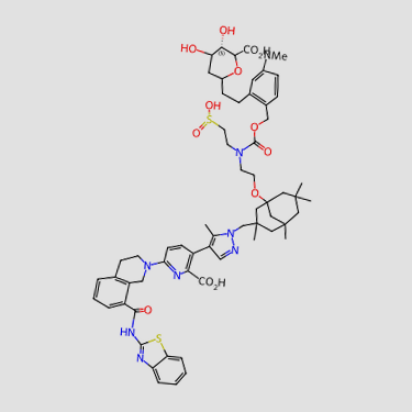 CNc1ccc(COC(=O)N(CCOC23CC(C)(C)CC(C)(CC(C)(Cn4ncc(-c5ccc(N6CCc7cccc(C(=O)Nc8nc9ccccc9s8)c7C6)nc5C(=O)O)c4C)C2)C3)CCS(=O)O)c(CCC2CC(O)[C@H](O)C(C(=O)O)O2)c1